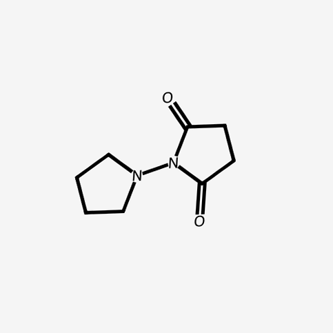 O=C1CCC(=O)N1N1CCCC1